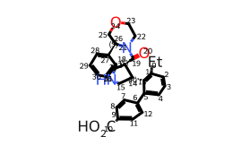 CCc1cccc(-c2ccc(C(=O)O)cc2)c1[C@@H]1CNC[C@H]1C(=O)N1CCOC[C@@H]1c1ccccc1